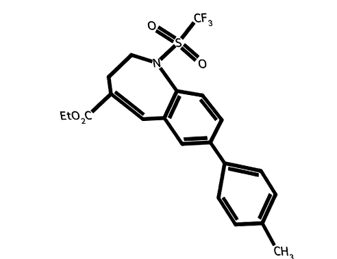 CCOC(=O)C1=Cc2cc(-c3ccc(C)cc3)ccc2N(S(=O)(=O)C(F)(F)F)CC1